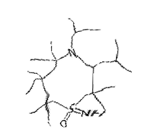 CC(C)C1N(C(C)C)C(C)(C)C(C)(C)C(C)(C)S(=N)(=O)C1(C)C